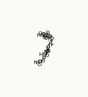 CC(C)N(CC1CCN(c2cnc(C(=O)N[C@H]3CC[C@H](Oc4ccc(C#N)c(Cl)c4)CC3)cn2)CC1)[C@H]1C[C@H](Oc2ccc3c(c2F)C(=O)N(C2CCC(=O)NC2=O)C3=O)C1